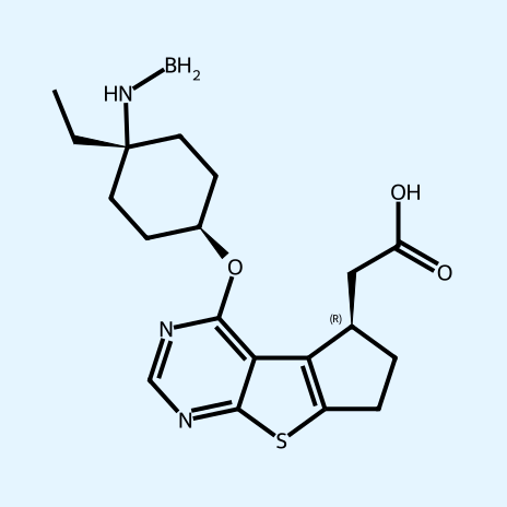 BN[C@]1(CC)CC[C@@H](Oc2ncnc3sc4c(c23)[C@@H](CC(=O)O)CC4)CC1